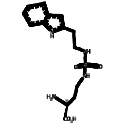 N[C@@H](CCNS(=O)(=O)NCCc1cc2ccccc2[nH]1)C(=O)O